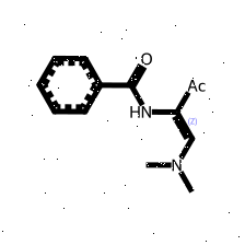 CC(=O)/C(=C/N(C)C)NC(=O)c1ccccc1